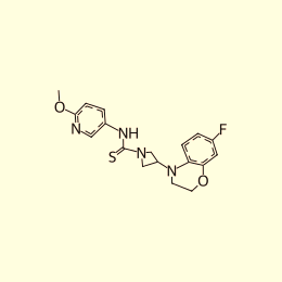 COc1ccc(NC(=S)N2CC(N3CCOc4cc(F)ccc43)C2)cn1